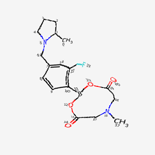 CC1CCCN1Cc1ccc(B2OC(=O)CN(C)CC(=O)O2)c(F)c1